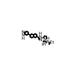 C=C(CC)N[C@H](C(=C)N1CCC[C@H]1c1ncc(-c2ccc3cc(-c4ccc5nc[nH]c5c4)ccc3c2)[nH]1)C(C)C